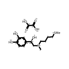 CSCCCCN(C)C[C@H](O)c1ccc(O)c(O)c1.O=C(O)C(=O)O